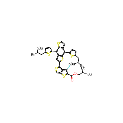 CCCCC(CC)COC(=O)c1sc2csc(-c3cc4c(C5=S=C(CC(CC)CCCC)C=C5)c5sccc5c(-c5ccc(CC(CC)CCCC)s5)c4s3)c2c1F